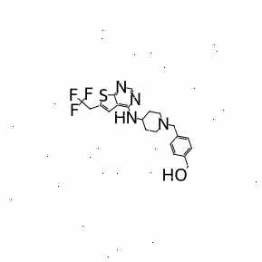 OCc1ccc(CN2CCC(Nc3ncnc4sc(CC(F)(F)F)cc34)CC2)cc1